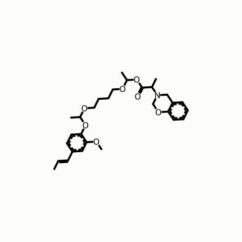 C/C=C/c1ccc(OC(C)OCCCCOC(C)OC(=O)C(C)N2COc3ccccc3C2)c(OC)c1